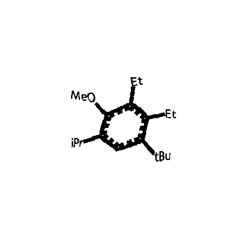 CCc1c(C(C)(C)C)cc(C(C)C)c(OC)c1CC